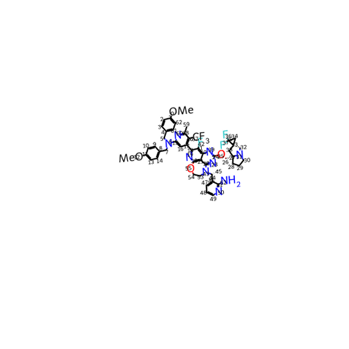 COc1ccc(CN(Cc2ccc(OC)cc2)c2cc(-c3nc4c5c(nc(OC[C@@]67CCCN6C[C@]6(CC6(F)F)C7)nc5c3F)N([C@H](C)c3cccnc3N)CCO4)c(C(F)(F)F)c(C)n2)cc1